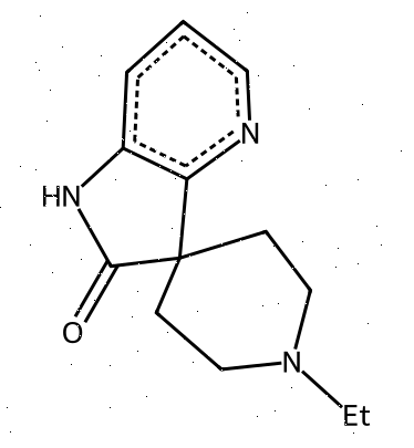 CCN1CCC2(CC1)C(=O)Nc1cccnc12